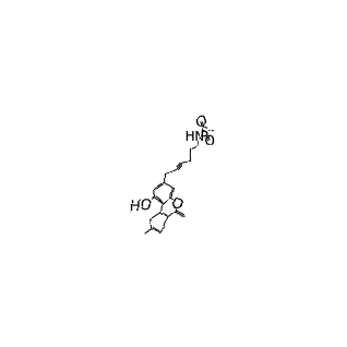 C=C1Oc2cc(CC#CCCCNS(C)(=O)=O)cc(O)c2C2CC(C)=CCC12